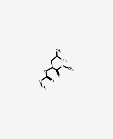 COC(=O)N[C@@H](CC(C)C)C(=O)OC